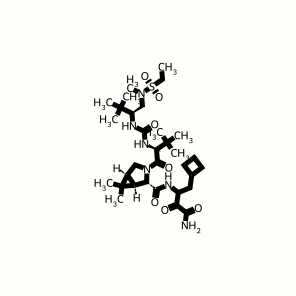 CCS(=O)(=O)N(C)C[C@@H](NC(=O)N[C@H](C(=O)N1C[C@H]2[C@@H]([C@H]1C(=O)NC(CC1CCC1)C(=O)C(N)=O)C2(C)C)C(C)(C)C)C(C)(C)C